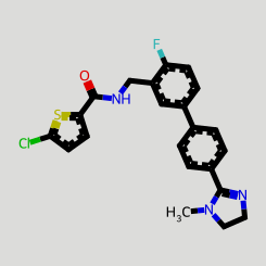 CN1CCN=C1c1ccc(-c2ccc(F)c(CNC(=O)c3ccc(Cl)s3)c2)cc1